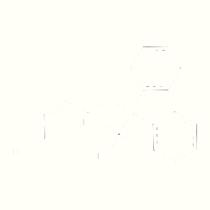 CC(C)(C)[Si](OC/C=C\CO)(c1ccccc1)c1ccccc1